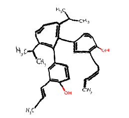 CC=Cc1cc(-c2c(C(C)C)ccc(C(C)C)c2-c2ccc(O)c(C=CC)c2)ccc1O